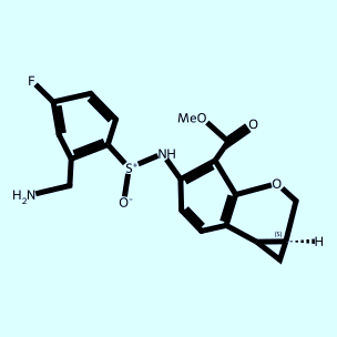 COC(=O)c1c(N[S+]([O-])c2ccc(F)cc2CN)ccc2c1OC[C@H]1CC21